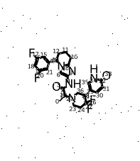 C[C@@H](C(=O)Nc1cn2c(n1)CCC[C@H]2c1cc(F)cc(F)c1)N1CCC(F)(F)[C@@H](c2ccc(=O)[nH]c2)C1